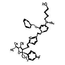 CCCCN(CCCCO)c1ccc(/C=C/c2ccc(/C=C/C3=C(C#N)C(=C(C#N)C#N)OC3(C)c3ccc(F)cc3)s2)c(OCc2ccccc2)c1